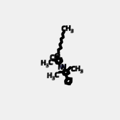 CCCCCCCCCCOc1ccc(/N=N/c2c(CC)cc(-c3ccccc3)cc2CC)cc1C(C)C